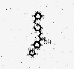 ON=C(CCC1CCN(Cc2ccccc2)CC1)c1ccc(N2CCCC2)cc1